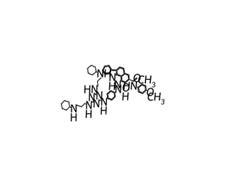 COc1ccc(NC(=O)c2cc3ccc4c5ccccc5[nH]c4c3c(N=Nc3ccc(Nc4nc(NCCCNC5CCCCC5)nc(NCCCNC5CCCCC5)n4)cc3)c2O)c(C)c1